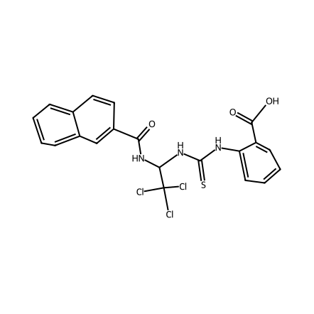 O=C(NC(NC(=S)Nc1ccccc1C(=O)O)C(Cl)(Cl)Cl)c1ccc2ccccc2c1